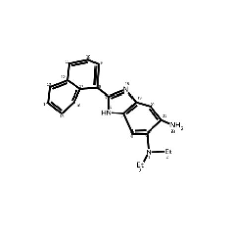 CCN(CC)c1cc2[nH]c(-c3cccc4ccccc34)nc2cc1N